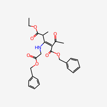 CCOC(=O)C(C)C(NCC(=O)OCc1ccccc1)=C(C(C)=O)C(=O)OCc1ccccc1